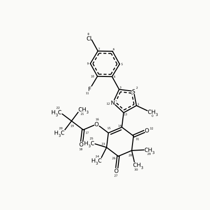 Cc1sc(-c2ccc(Cl)cc2F)nc1C1=C(OC(=O)C(C)(C)C)C(C)(C)C(=O)C(C)(C)C1=O